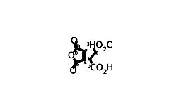 O=C(O)CCC(=O)O.O=C1C=CC(=O)O1